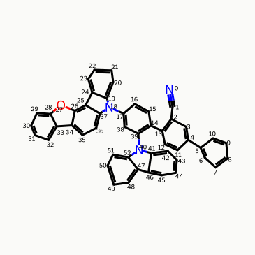 N#Cc1cc(-c2ccccc2)ccc1-c1ccc(-n2c3ccccc3c3c4oc5ccccc5c4ccc32)cc1-n1c2ccccc2c2ccccc21